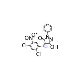 O=C1/C(=C\c2cc([N+](=O)[O-])c(Cl)cc2Cl)C(O)=NN1c1ccccc1